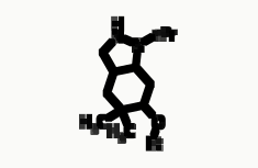 CCCN1NCC2CC(C)(C)C(OCC)CC21